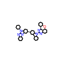 c1ccc(-n2c3ccc(-c4ccc5c(c4)c4ccccc4n5-c4nc5c6c(cccc6n4)Oc4ccccc4-5)cc3n3c4ccccc4nc23)cc1